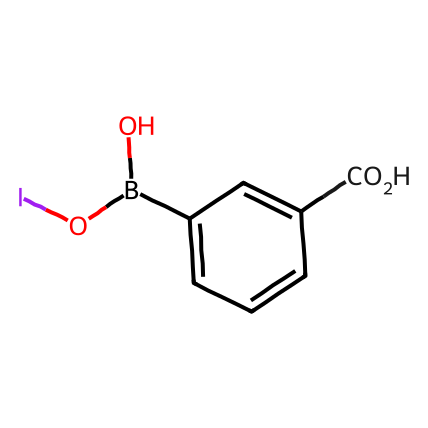 O=C(O)c1cccc(B(O)OI)c1